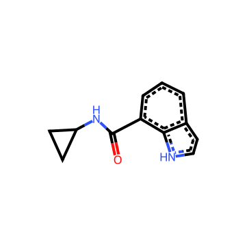 O=C(NC1CC1)c1cccc2cc[nH]c12